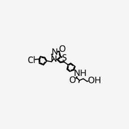 CC(CCO)C(=O)Nc1ccc(-c2cc3c(s2)c(=O)ncn3Cc2ccc(Cl)cc2)cc1